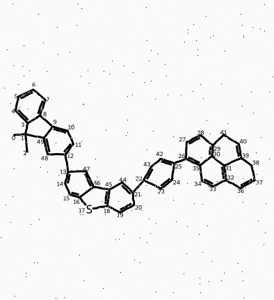 CC1(C)c2ccccc2-c2ccc(-c3ccc4sc5ccc(-c6ccc(-c7ccc8c9c%10c(ccc79)C=CCC%10=CC8)cc6)cc5c4c3)cc21